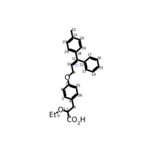 CCOC(Cc1ccc(OC/C=C(\c2ccccc2)c2ccc(C)cc2)cc1)C(=O)O